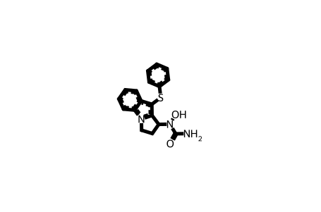 NC(=O)N(O)C1CCn2c1c(Sc1ccccc1)c1ccccc12